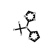 FC(F)(F)N(c1ncon1)c1cccs1